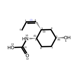 C/C=C\[C@@H]1C[C@H](O)CC[C@@H]1NC(=O)O